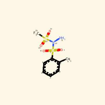 Cc1ccccc1S(=O)(=O)N(N)S(=O)(=O)C(F)(F)F